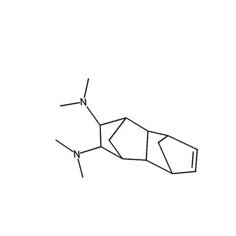 CN(C)C1C2CC(C3C4C=CC(C4)C23)C1N(C)C